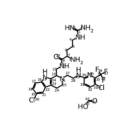 N=C(N)NCCCC(N)C(=O)NCC1c2[nH]c3ccc(Cl)cc3c2CCN1CCNc1ccc(Cl)c(C(F)(F)F)n1.O=CO